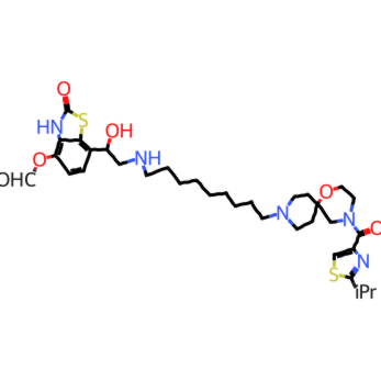 CC(C)c1nc(C(=O)N2CCOC3(CCN(CCCCCCCCCNCC(O)c4ccc(OC=O)c5[nH]c(=O)sc45)CC3)C2)cs1